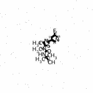 C#CC(C)(C)NC(=O)N(C)c1sc(-c2cncc(F)c2)nc1C